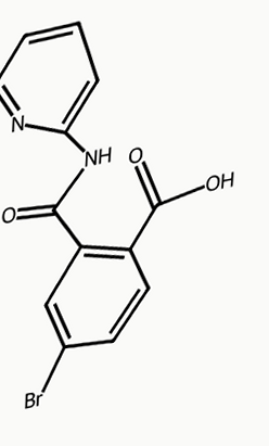 O=C(O)c1ccc(Br)cc1C(=O)Nc1ccccn1